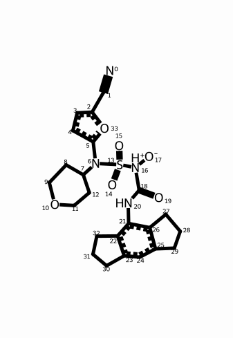 N#Cc1ccc(N(C2CCOCC2)S(=O)(=O)[NH+]([O-])C(=O)Nc2c3c(cc4c2CCC4)CCC3)o1